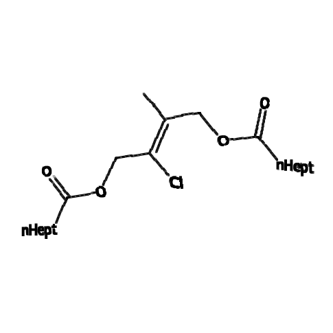 CCCCCCCC(=O)OCC(C)=C(Cl)COC(=O)CCCCCCC